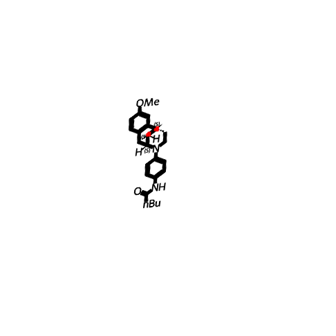 CCCCC(=O)Nc1ccc(N2CC[C@@]34CCCC[C@@H]3[C@@H]2Cc2ccc(OC)cc24)cc1